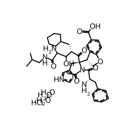 CC(=O)N(C(=O)[C@@H](N)Cc1ccccc1)[C@](Cc1c[nH]cn1)(C(=O)[C@@H](CC1CCCCC1)C(O)C(N)C(=O)NCC(C)C)[C@H]1COc2ccc(C(=O)O)cc21.Cl.O.O.O